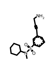 CN(C1CCCCC1)S(=O)(=O)c1cccc(C#CCN)c1